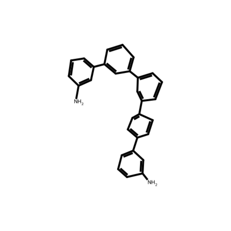 Nc1cccc(-c2ccc(-c3cccc(-c4cccc(-c5cccc(N)c5)c4)c3)cc2)c1